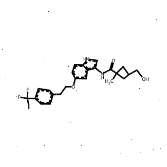 CC1(C(=O)Nc2c[nH]c3ccc(OCCc4ccc(C(F)(F)F)cc4)cc23)CC(CO)C1